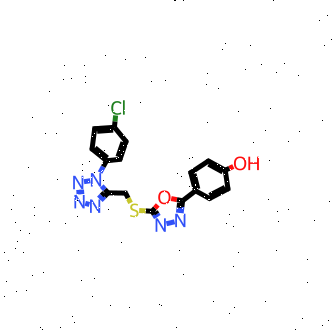 Oc1ccc(-c2nnc(SCc3nnnn3-c3ccc(Cl)cc3)o2)cc1